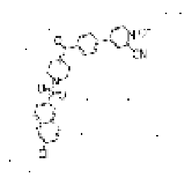 N#Cc1cc(-c2ccc(C(=O)N3CCN(S(=O)(=O)c4ccc5cc(Cl)ccc5c4)CC3)cc2)cc[n+]1[O-]